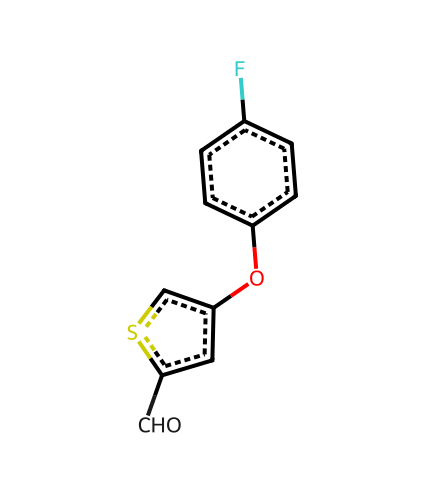 O=Cc1cc(Oc2ccc(F)cc2)cs1